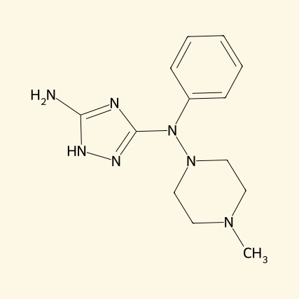 CN1CCN(N(c2ccccc2)c2n[nH]c(N)n2)CC1